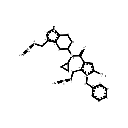 Cc1cc(C(=O)N(C2CC2)C2CCc3[nH]nc(CN=[N+]=[N-])c3C2)c(CN=[N+]=[N-])n1Cc1ccccc1